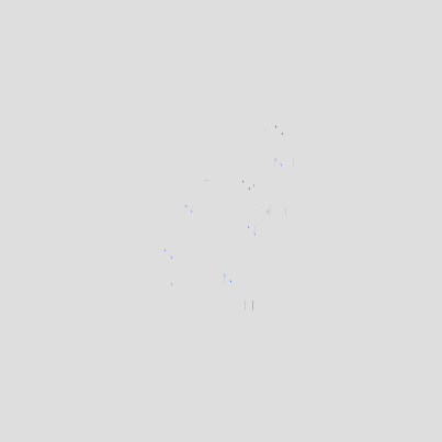 CCCC[n+]1ccn(C)c1.CC[n+]1ccn(C)c1.N#CNC#N